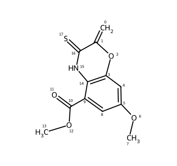 C=C1Oc2cc(OC)cc(C(=O)OC)c2NC1=S